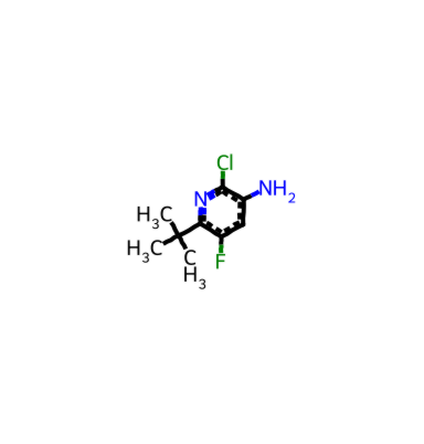 CC(C)(C)c1nc(Cl)c(N)cc1F